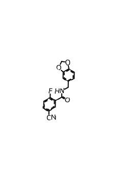 N#Cc1ccc(F)c(C(=O)NCc2ccc3c(c2)OCO3)c1